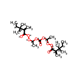 C=C(C(=O)OOC(C)OC(=O)OC(C)OOC(=O)C(=C)C(C)(C)CC)C(C)(C)CC